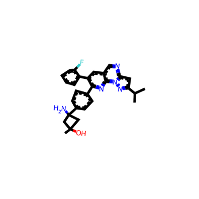 CC(C)c1cc2ncc3cc(-c4ccccc4F)c(-c4ccc(C5(N)CC(C)(O)C5)cc4)nc3n2n1